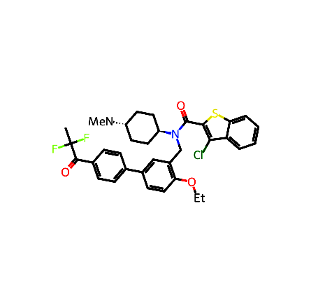 CCOc1ccc(-c2ccc(C(=O)C(C)(F)F)cc2)cc1CN(C(=O)c1sc2ccccc2c1Cl)[C@H]1CC[C@H](NC)CC1